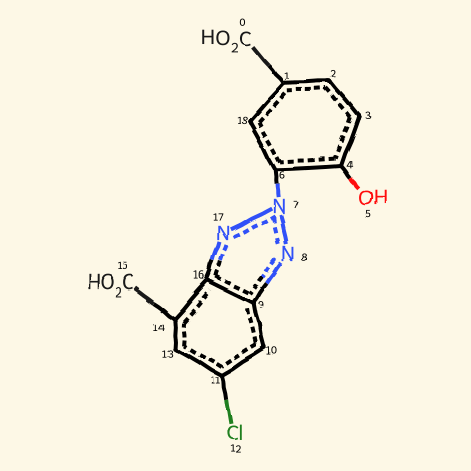 O=C(O)c1ccc(O)c(-n2nc3cc(Cl)cc(C(=O)O)c3n2)c1